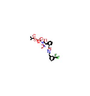 CON=C(C(=O)N(C)C(=O)OCOC(=O)C(C)C)c1ccccc1CON=CCc1cccc(C(F)(F)F)c1